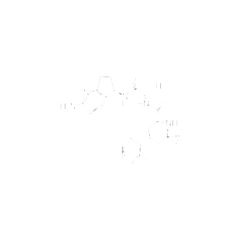 C[C@H](NC(=O)[C@H]1C[C@@H](c2ccccc2F)CC2(CC2)N1)C(=O)N[C@@H]1CCc2nc(N)ccc21